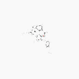 C=C(C)/C=C\C=C(\C)C(C)OC(CNC(=O)c1cccc(S(=O)(=O)NC(=N)NC)c1)c1ccc(CCC(C)(C)C)cc1